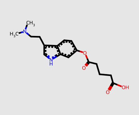 CN(C)CCc1c[nH]c2cc(OC(=O)CCCC(=O)O)ccc12